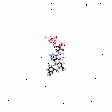 NS(=O)(=O)OC[C@H]1C[C@@H](Nc2ncncc2C(=O)c2cc(Br)n(Cc3cccc(Br)c3)c2)[C@@H](F)[C@@H]1O